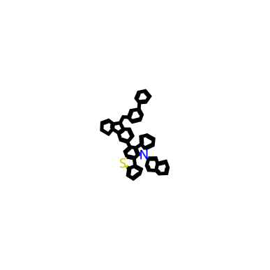 C1=CC2=C(CC1)c1cc(-c3cc4sc5ccccc5c4c4c3c3ccccc3n4-c3ccc4ccccc4c3)ccc1C2Cc1cccc(-c2ccccc2)c1